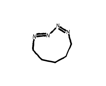 C1CC/N=N\N=N\CC1